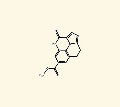 COC(=O)c1cc2c3c(c1)[nH]c(=O)c1ccc(n13)CC2